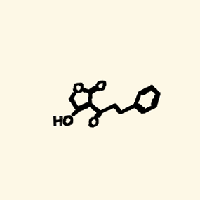 O=C(CCc1ccccc1)C1=C(O)COC1=O